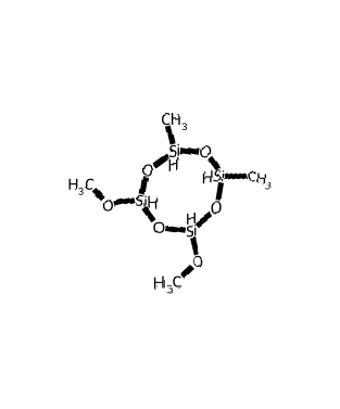 CO[SiH]1O[SiH](C)O[SiH](C)O[SiH](OC)O1